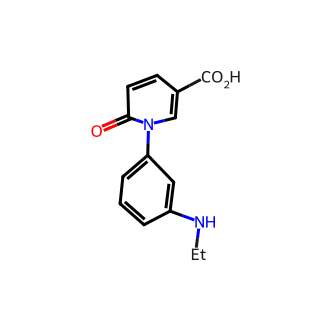 CCNc1cccc(-n2cc(C(=O)O)ccc2=O)c1